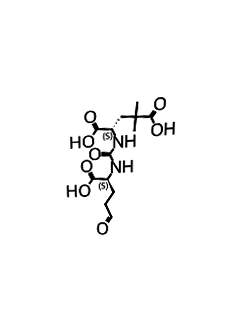 CC(C)(C[C@H](NC(=O)N[C@@H](CCC=O)C(=O)O)C(=O)O)C(=O)O